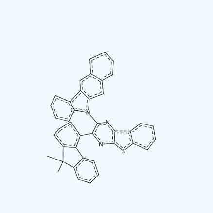 CC1(C)c2ccccc2-c2c(-c3nc4sc5ccccc5c4nc3-n3c4ccccc4c4cc5ccccc5cc43)cccc21